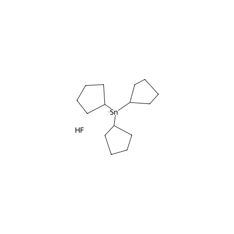 C1CC[CH]([Sn]([CH]2CCCC2)[CH]2CCCC2)C1.F